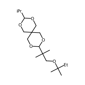 CCC(C)(C)OCC(C)(C)C1OCC2(COC(C(C)C)OC2)CO1